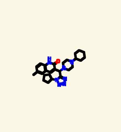 Cc1ccc2[nH]c(=O)c([C@H](c3nnnn3C3CCCC3)N3CCN(C4CCCCC4)CC3)cc2c1